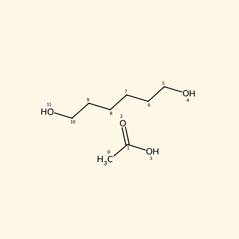 CC(=O)O.OCCCCCCO